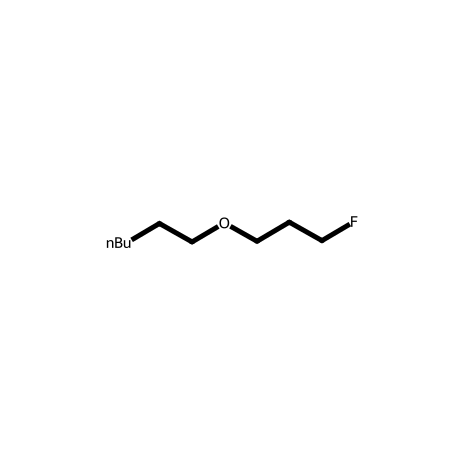 CCCCCCOCCCF